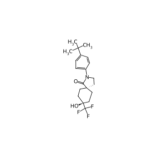 CC(C)(C)c1ccc(N2CC[C@]3(CC[C@@](O)(C(F)(F)F)CC3)C2=O)cc1